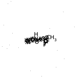 COc1ccc(F)cc1O[C@H]1C[C@H](C(=O)NC2CCN(c3ccccn3)CC2)C1